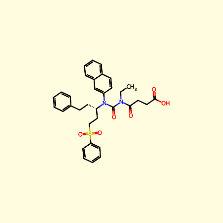 CCN(C(=O)CCC(=O)O)C(=O)N(c1ccc2ccccc2c1)[C@@H](CCc1ccccc1)CCS(=O)(=O)c1ccccc1